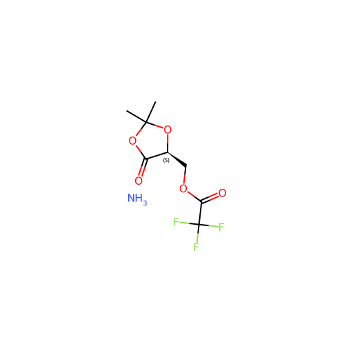 CC1(C)OC(=O)[C@H](COC(=O)C(F)(F)F)O1.N